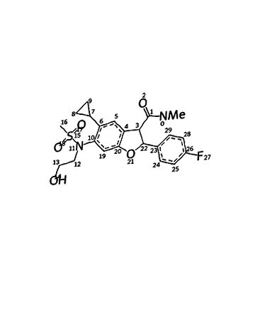 CNC(=O)C1c2cc(C3CC3)c(N(CCO)S(C)(=O)=O)cc2OC1c1ccc(F)cc1